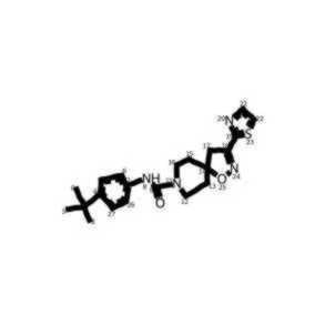 CC(C)(C)c1ccc(NC(=O)N2CCC3(CC2)CC(c2nccs2)=NO3)cc1